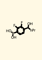 CCCC(O)c1ccc(B(O)O)c(F)c1F